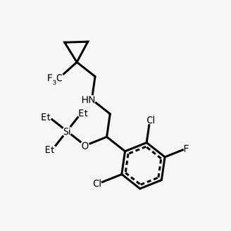 CC[Si](CC)(CC)OC(CNCC1(C(F)(F)F)CC1)c1c(Cl)ccc(F)c1Cl